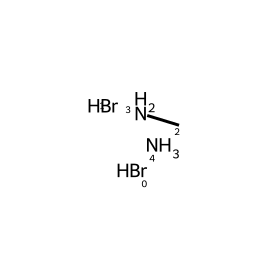 Br.Br.CN.N